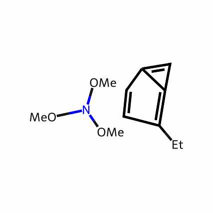 CCc1ccc2cc1-2.CON(OC)OC